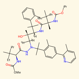 [2H]C([2H])(N(NC(=O)[C@@H](NC(=O)OC)C(C)(CC)C(C)C)C(C)(C)c1ccc(-c2ncccc2C)cc1C)[C@](C)(O)[C@@]([2H])(NC(=O)[C@@](C)(NC(=O)OC(C)C)C(C)(C(C)C)C(C)(C)C)C(C)(C)c1ccccc1C